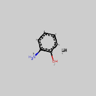 Nc1ccccc1O.[LiH]